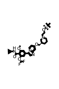 COc1cc(-c2cnc3cc(OC[C@@H]4CCCN(CCO[Si](C)(C)C(C)(C)C)C4)ccn23)cc(OC(F)F)c1C(=O)NC1CC1